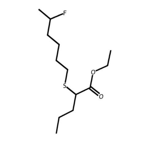 CCCC(SCCCCC(C)F)C(=O)OCC